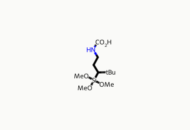 CO[Si](OC)(OC)C(CCNC(=O)O)C(C)(C)C